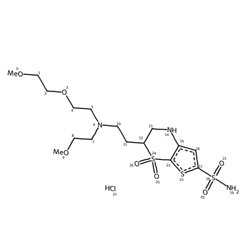 COCCOCCN(CCOC)CCC1CNc2cc(S(N)(=O)=O)sc2S1(=O)=O.Cl